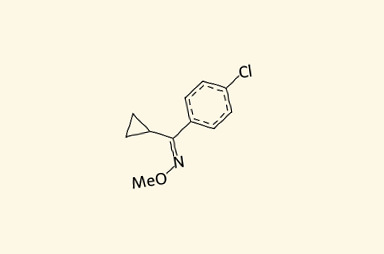 CON=C(c1ccc(Cl)cc1)C1CC1